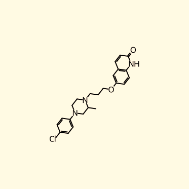 CC1CN(c2ccc(Cl)cc2)CCN1CCCOc1ccc2[nH]c(=O)ccc2c1